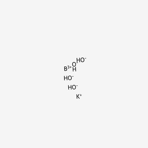 [B+3].[K+].[OH-].[OH-].[OH-].[OH-]